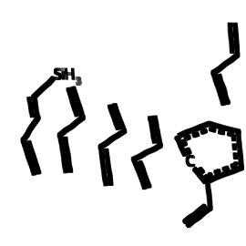 C=CC=C.C=CC=C.C=CC=C.C=CC=C.C=CC=C[SiH3].C=Cc1ccccc1